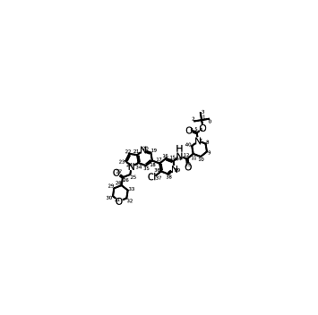 CC(C)(C)OC(=O)N1CCCC(C(=O)Nc2cc(-c3cnc4ccn(CC(=O)C5CCOCC5)c4c3)c(Cl)cn2)C1